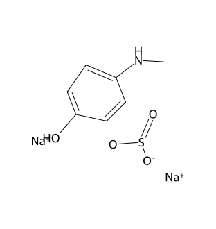 CNc1ccc(O)cc1.O=S([O-])[O-].[Na+].[Na+]